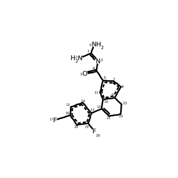 NC(N)=NC(=O)c1ccc2c(c1)C(c1ccc(F)cc1F)=CCC2